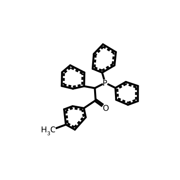 Cc1ccc(C(=O)C(c2ccccc2)P(c2ccccc2)c2ccccc2)cc1